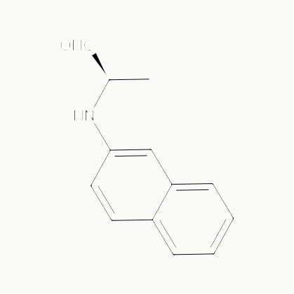 C[C@H](C=O)Nc1ccc2ccccc2c1